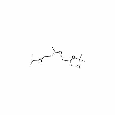 CC(C)OCCC(C)OCC1COC(C)(C)O1